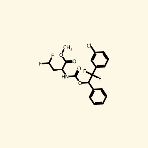 COC(=O)[C@H](CC(F)F)NC(=O)OC(c1ccccc1)C(F)(F)c1cccc(Cl)c1